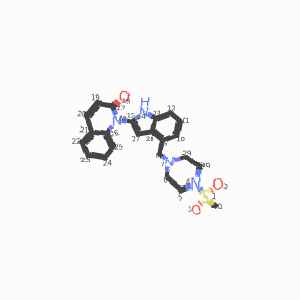 CS(=O)(=O)N1CCN(Cc2cccc3[nH]c(-n4c(=O)ccc5ccccc54)cc23)CC1